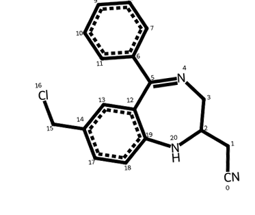 N#CCC1CN=C(c2ccccc2)c2cc(CCl)ccc2N1